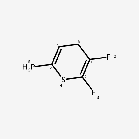 FC1=C(F)SC(P)=CC1